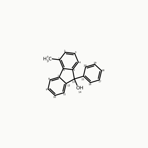 Cc1cccc2c1-c1ccccc1C2(O)c1ccccc1